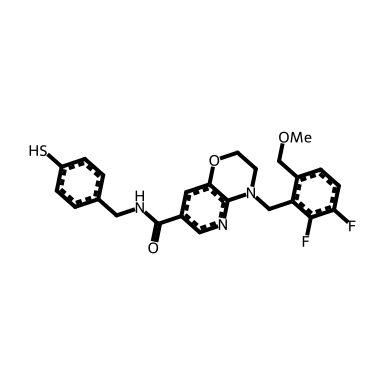 COCc1ccc(F)c(F)c1CN1CCOc2cc(C(=O)NCc3ccc(S)cc3)cnc21